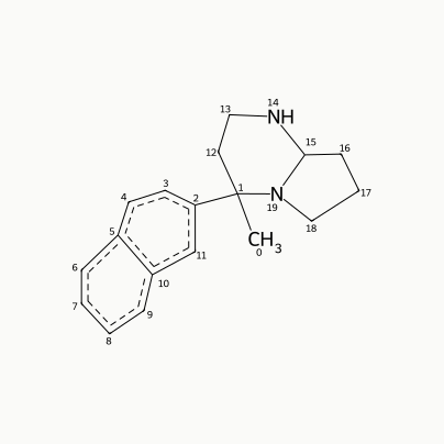 CC1(c2ccc3ccccc3c2)CCNC2CCCN21